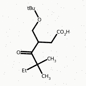 CCC(C)(C)C(=O)C(COC(C)(C)C)CC(=O)O